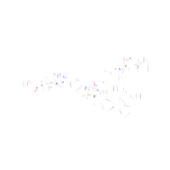 CC(C)Oc1ccccc1-c1ccc(C[C@H](NC(=O)[C@H]2CC[C@H](CNC(=O)OC(C)(C)C)CC2)C(=O)Nc2ccc(-c3nc(C(F)(F)C(F)(F)C(=O)O)n[nH]3)cc2)cc1